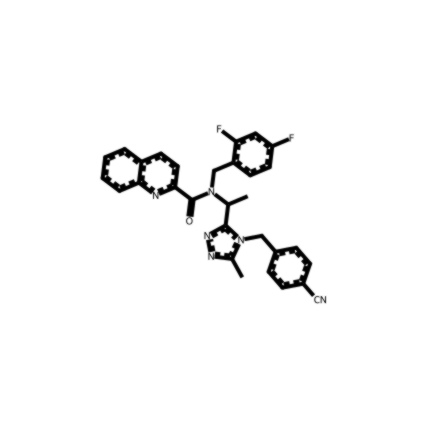 Cc1nnc(C(C)N(Cc2ccc(F)cc2F)C(=O)c2ccc3ccccc3n2)n1Cc1ccc(C#N)cc1